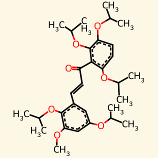 COc1cc(OC(C)C)cc(C=CC(=O)c2c(OC(C)C)ccc(OC(C)C)c2OC(C)C)c1OC(C)C